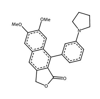 COc1cc2cc3c(c(-c4cccc(N5CCCC5)c4)c2cc1OC)C(=O)OC3